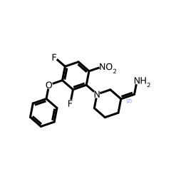 N/C=C1/CCCN(c2c([N+](=O)[O-])cc(F)c(Oc3ccccc3)c2F)C1